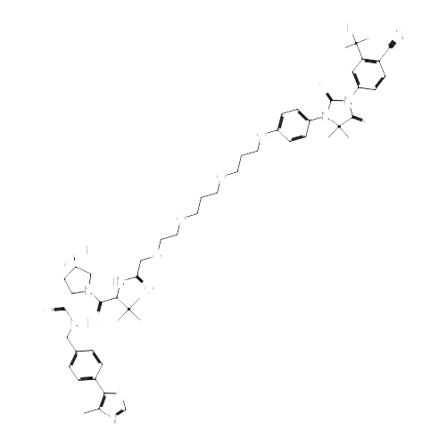 Cc1ncsc1-c1ccc(CNC(=O)[C@@H]2C[C@@H](O)CN2C(=O)C(NC(=O)COCCOCCCOCCCOc2ccc(N3C(=S)N(c4ccc(C#N)c(C(F)(F)F)c4)C(=O)C3(C)C)cc2)C(C)(C)C)cc1